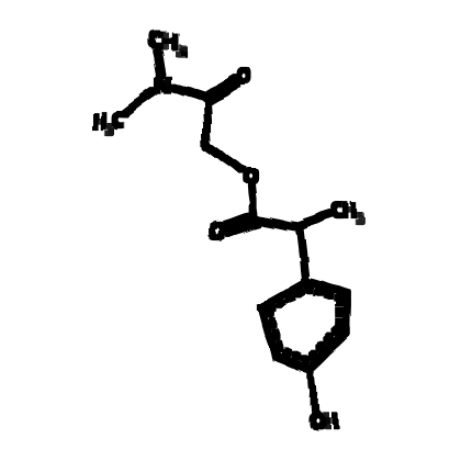 CC(C(=O)OCC(=O)N(C)C)c1ccc(O)cc1